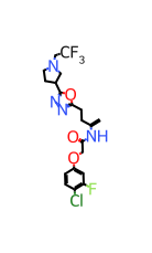 C=C(CCc1nnc(C2CCN(CC(F)(F)F)C2)o1)NC(=O)COc1ccc(Cl)c(F)c1